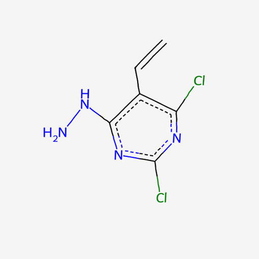 C=Cc1c(Cl)nc(Cl)nc1NN